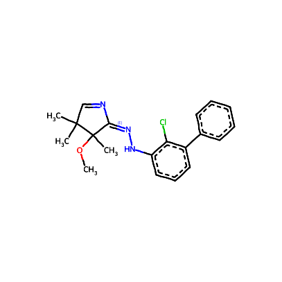 COC1(C)/C(=N\Nc2cccc(-c3ccccc3)c2Cl)N=CC1(C)C